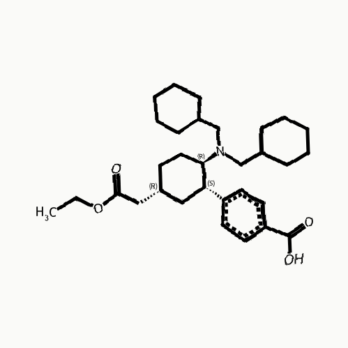 CCOC(=O)C[C@@H]1CC[C@@H](N(CC2CCCCC2)CC2CCCCC2)[C@H](c2ccc(C(=O)O)cc2)C1